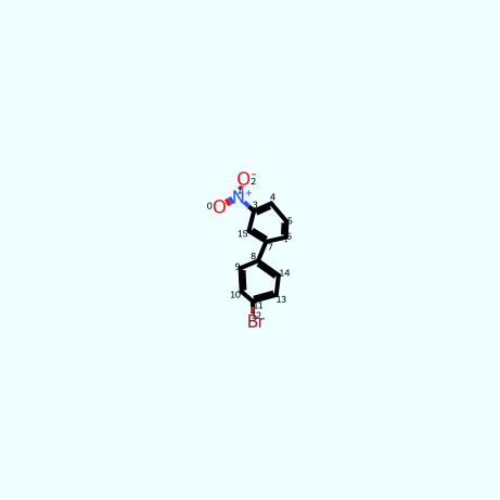 O=[N+]([O-])c1cc[c]c(-c2ccc(Br)cc2)c1